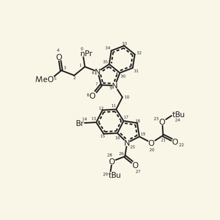 CCCC(CC(=O)OC)n1c(=O)n(Cc2cc(Br)cc3c2cc(OC(=O)OC(C)(C)C)n3C(=O)OC(C)(C)C)c2ccccc21